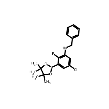 CC1(C)OB(c2cc(Cl)cc(NCc3ccccc3)c2F)OC1(C)C